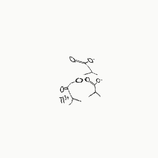 CC(C)C(=O)[O-].CC(C)C(=O)[O-].CC(C)C(=O)[O-].[Tl+3]